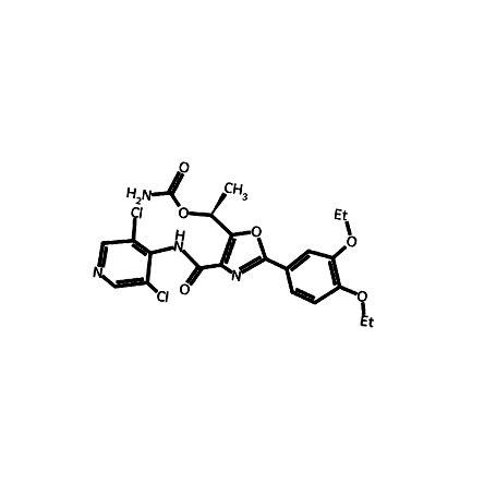 CCOc1ccc(-c2nc(C(=O)Nc3c(Cl)cncc3Cl)c([C@H](C)OC(N)=O)o2)cc1OCC